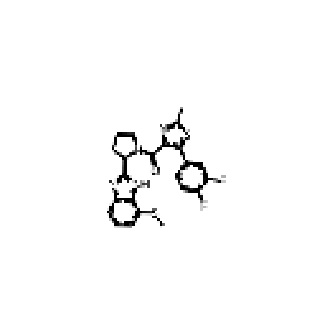 CSc1cccc2nc(C3CCCN3C(=O)c3nc(C)sc3-c3ccc(F)c(F)c3)[nH]c12